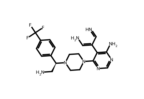 N=C/C(=C\N)c1c(N)ncnc1N1CCN([C@@H](CN)c2ccc(C(F)(F)F)cc2)CC1